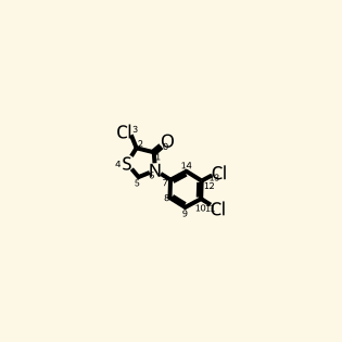 O=C1C(Cl)SCN1c1ccc(Cl)c(Cl)c1